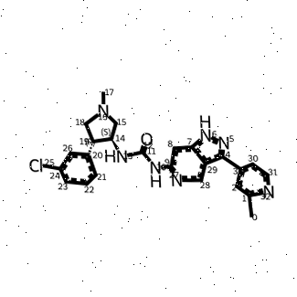 Cc1cc(-c2n[nH]c3cc(NC(=O)N[C@@H]4CN(C)C[C@H]4c4cccc(Cl)c4)ncc23)ccn1